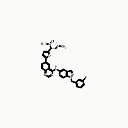 CSC[C@H](c1ccc(-c2ccc3ncnc(Nc4ccc5c(cnn5Cc5cccc(F)c5)c4)c3c2)o1)N(C)C